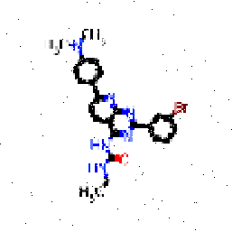 CCNC(=O)Nc1nc(-c2cccc(Br)c2)nc2nc(-c3ccc(N(C)C)cc3)ccc12